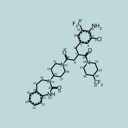 Nc1c(Cl)cc(CC(CC(=O)N2CCC(N3CCc4ccccc4NC3=O)CC2)C(=O)N2CCC(C(F)(F)F)CC2)cc1C(F)(F)F